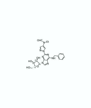 CCN(C=O)c1cnn(-c2nc(NCc3ccccc3)c3ncn([C@@H]4O[C@H](CO)[C@@H](O)[C@H]4O)c3n2)c1